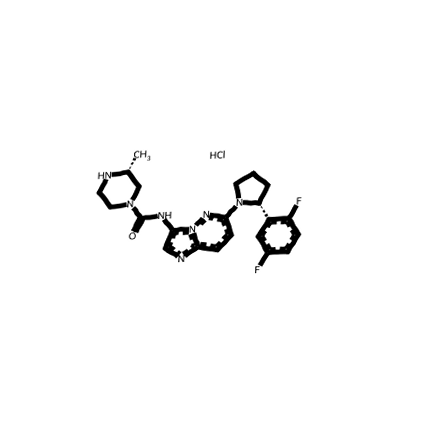 C[C@@H]1CN(C(=O)Nc2cnc3ccc(N4CCC[C@@H]4c4cc(F)ccc4F)nn23)CCN1.Cl